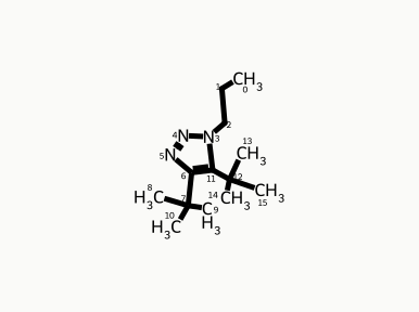 CCCn1nnc(C(C)(C)C)c1C(C)(C)C